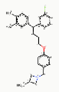 Cc1ccc(C(CCCOc2ccc(CN3CC(C(=O)O)C3)cc2)c2cccc(F)c2)cc1C